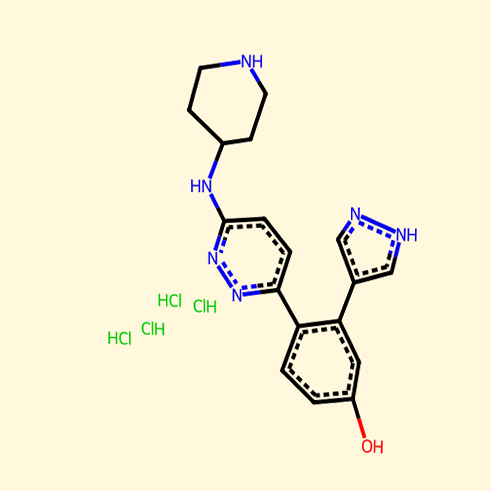 Cl.Cl.Cl.Cl.Oc1ccc(-c2ccc(NC3CCNCC3)nn2)c(-c2cn[nH]c2)c1